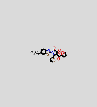 CCc1ccc2nc(N3C(=O)C(O)=C(C(=O)c4ccco4)C3C3CC=CS3)sc2c1